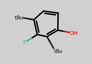 CC(C)(C)c1ccc(O)c(C(C)(C)C)c1F